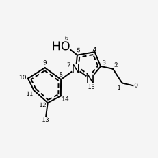 CCCc1cc(O)n(-c2cccc(C)c2)n1